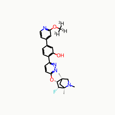 [2H]C([2H])([2H])Oc1cc(-c2ccc(-c3ccc(O[C@H]4[C@@H](F)[C@@]5(C)C[C@]4(C)CN5C)nn3)c(O)c2)ccn1